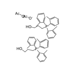 CC(=O)[O-].CC(=O)[O-].Cc1ccccc1[P+](CCCO)(c1ccccc1C)c1ccccc1C.Cc1ccccc1[P+](CCCO)(c1ccccc1C)c1ccccc1C